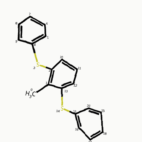 Cc1c(Sc2ccccc2)cccc1Sc1ccccc1